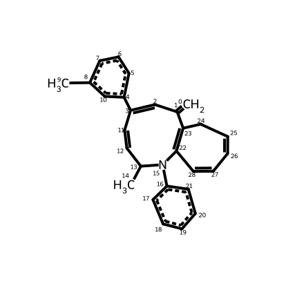 C=C1/C=C(c2cccc(C)c2)\C=C/C(C)N(c2ccccc2)C2=C1CC=CC=C2